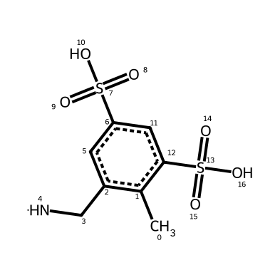 Cc1c(C[NH])cc(S(=O)(=O)O)cc1S(=O)(=O)O